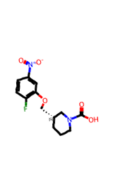 O=C(O)N1CCC[C@H](COc2cc([N+](=O)[O-])ccc2F)C1